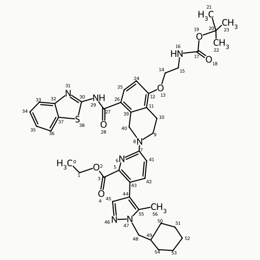 CCOC(=O)c1nc(N2CCc3c(OCCNC(=O)OC(C)(C)C)ccc(C(=O)Nc4nc5ccccc5s4)c3C2)ccc1-c1cnn(CC2CCCCC2)c1C